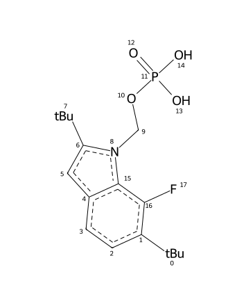 CC(C)(C)c1ccc2cc(C(C)(C)C)n(COP(=O)(O)O)c2c1F